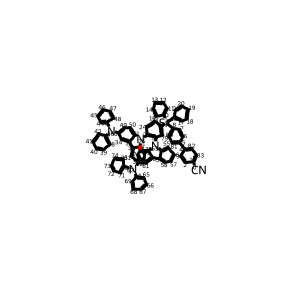 N#Cc1ccc(-c2ccc([Si](c3ccccc3)(c3ccccc3)c3ccc(-n4c5ccccc5c5cc(N(c6ccccc6)c6ccccc6)ccc54)c(-n4c5ccccc5c5cc(N(c6ccccc6)c6ccccc6)ccc54)c3)cc2)cc1